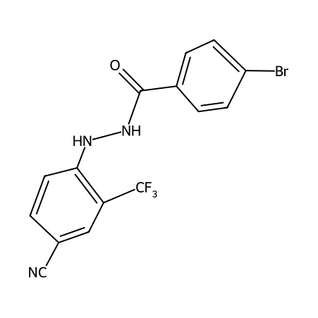 N#Cc1ccc(NNC(=O)c2ccc(Br)cc2)c(C(F)(F)F)c1